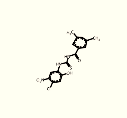 Cc1cc(C)cc(C(=O)NC(=S)Nc2cc([N+](=O)[O-])c(Cl)cc2O)c1